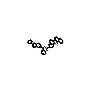 c1ccc2c(c1)ccc1c3ccc4cc(-c5nc(-c6ccc7c(ccc8c9ccccc9oc78)c6)c6ccccc6n5)ccc4c3oc21